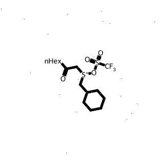 CCCCCCC(=O)C[S+](CC1CCCCC1)OS(=O)(=O)C(F)(F)F